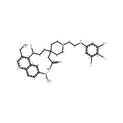 COc1ccc2ncc(CO)c(C(F)CCC3(CC(=O)O)CCN(CCOc4cc(F)c(F)c(F)c4)CC3)c2c1